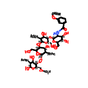 CCCCCCCCCOc1cccc(C(=O)NC2[C@H](O[C@H]3C(O)C(NC(C)=O)[C@H](O[C@@H]4C(CO)O[C@@H](O[C@H]5C(O)C(NC(C)=O)[C@H](O)O[C@H]5COS(=O)(=O)O)C(NC(C)=O)[C@H]4O)O[C@H]3CO)OC(CO)[C@@H](O)[C@@H]2O)c1